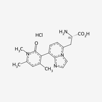 Cc1cc(C)n(C)c(=O)c1-c1ccc(C[C@H](N)C(=O)O)n2ccnc12.Cl